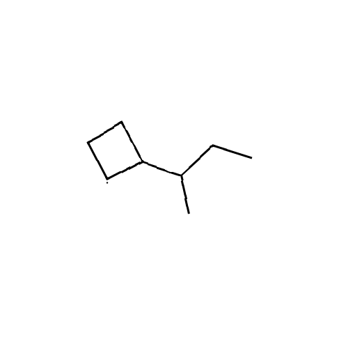 CCC(C)C1[CH]CC1